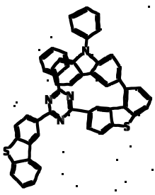 c1ccc(-c2nc(-c3ccc4sc5ccccc5c4c3)nc(-c3ccc4sc5cccc(-c6ccc7c(c6)c6ccccc6n7-c6ccccc6)c5c4c3)n2)cc1